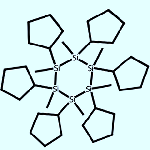 C[Si]1(C2CCCC2)[Si](C)(C2CCCC2)[Si](C)(C2CCCC2)[Si](C)(C2CCCC2)[Si](C)(C2CCCC2)[Si]1(C)C1CCCC1